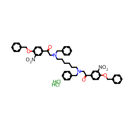 Cl.Cl.O=C(CN(CCCCCCN(CC(=O)c1ccc(OCc2ccccc2)c([N+](=O)[O-])c1)Cc1ccccc1)Cc1ccccc1)c1ccc(OCc2ccccc2)c([N+](=O)[O-])c1